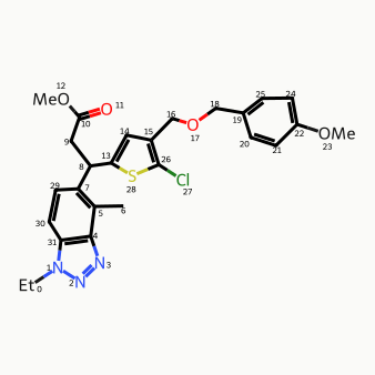 CCn1nnc2c(C)c(C(CC(=O)OC)c3cc(COCc4ccc(OC)cc4)c(Cl)s3)ccc21